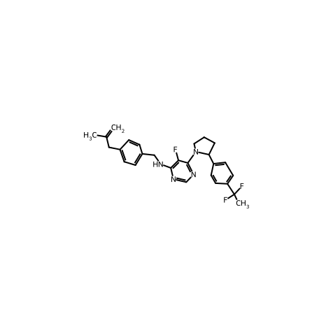 C=C(C)Cc1ccc(CNc2ncnc(N3CCCC3c3ccc(C(C)(F)F)cc3)c2F)cc1